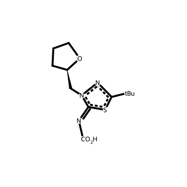 CC(C)(C)c1nn(C[C@H]2CCCO2)/c(=N/C(=O)O)s1